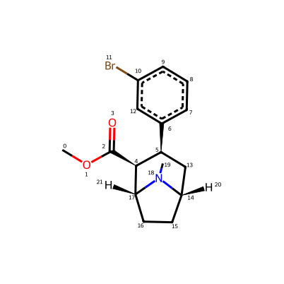 COC(=O)[C@H]1[C@@H](c2cccc(Br)c2)C[C@@H]2CC[C@H]1N2C